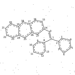 C(=C(c1ccccc1)c1ccccc1)c1ccc2cc3ccccc3cc2c1